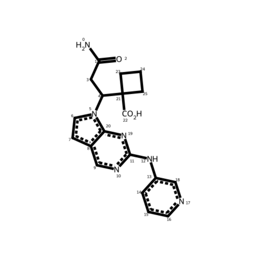 NC(=O)CC(n1ccc2cnc(Nc3cccnc3)nc21)C1(C(=O)O)CCC1